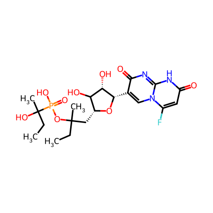 CCC(C)(C[C@H]1O[C@@H](c2cn3c(F)cc(=O)[nH]c3nc2=O)[C@@H](O)C1O)OP(=O)(O)C(C)(O)CC